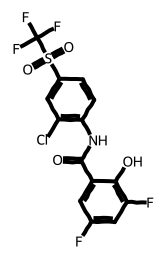 O=C(Nc1ccc(S(=O)(=O)C(F)(F)F)cc1Cl)c1cc(F)cc(F)c1O